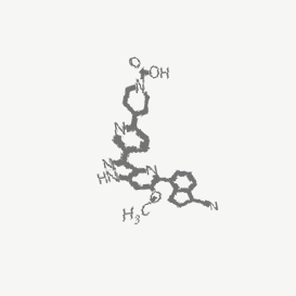 COc1cc2[nH]nc(-c3ccc(C4CCN(C(=O)O)CC4)nc3)c2nc1-c1cccc2c1CCC2C#N